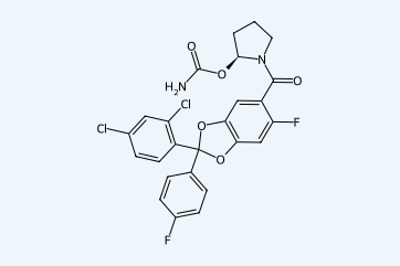 NC(=O)O[C@H]1CCCN1C(=O)c1cc2c(cc1F)OC(c1ccc(F)cc1)(c1ccc(Cl)cc1Cl)O2